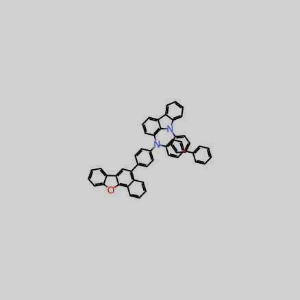 c1ccc(-c2ccc(N(c3ccc(-c4cc5c6ccccc6oc5c5ccccc45)cc3)c3cccc4c5ccccc5n(-c5ccccc5)c34)cc2)cc1